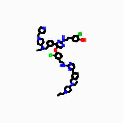 CCCN1CCC(N(CC)Cc2cccc(-c3ccnc(NCCc4ccc(Oc5cnc(NCCc6ccc(O)c(Cl)c6)nc5-c5cccc(CN(CC)C6CCN(Cc7ccncc7)CC6)c5)c(Cl)c4)n3)c2)CC1